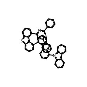 c1ccc(-c2nc(-c3ccccc3)nc(-c3cccc4sc5cccc(-c6cccc7oc8c(-n9c%10ccccc%10c%10ccccc%109)cccc8c67)c5c34)n2)cc1